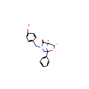 COc1ccc(CN2CC3(c4ccccc4)N[C@H](C2=O)[C@@H](C)O3)cc1